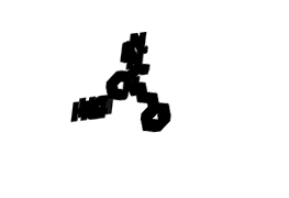 CC(C1CCCCN1CCCc1ccccc1)n1ccnc1.Cl.Cl